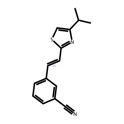 CC(C)c1csc(/C=C/c2cccc(C#N)c2)n1